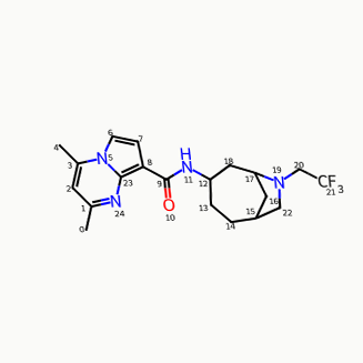 Cc1cc(C)n2ccc(C(=O)NC3CCC4CC(C3)N(CC(F)(F)F)C4)c2n1